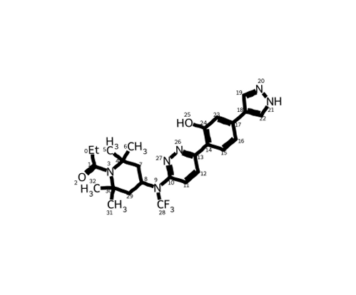 CCC(=O)N1C(C)(C)CC(N(c2ccc(-c3ccc(-c4cn[nH]c4)cc3O)nn2)C(F)(F)F)CC1(C)C